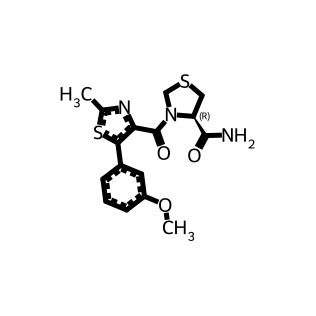 COc1cccc(-c2sc(C)nc2C(=O)N2CSC[C@H]2C(N)=O)c1